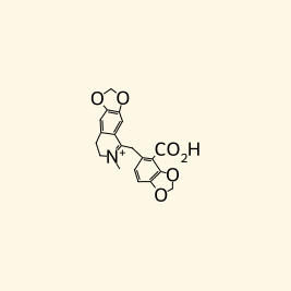 C[N+]1=C(Cc2ccc3c(c2C(=O)O)OCO3)c2cc3c(cc2CC1)OCO3